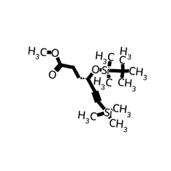 COC(=O)CC[C@@H](C#C[Si](C)(C)C)O[Si](C)(C)C(C)(C)C